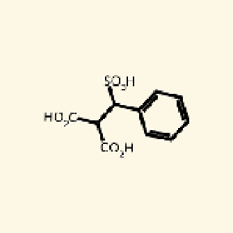 O=C(O)C(C(=O)O)C(c1ccccc1)S(=O)(=O)O